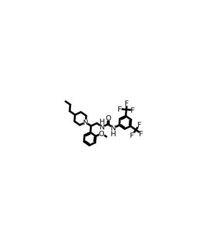 CCCC1CCN(C(CNC(=O)Nc2cc(C(F)(F)F)cc(C(F)(F)F)c2)c2ccccc2OC)CC1